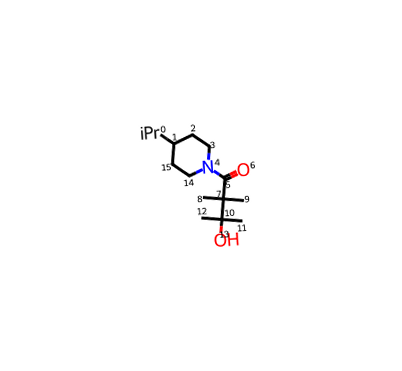 CC(C)C1CCN(C(=O)C(C)(C)C(C)(C)O)CC1